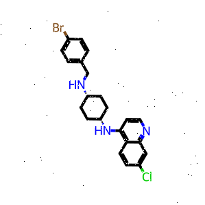 Clc1ccc2c(N[C@H]3CC[C@@H](NCc4ccc(Br)cc4)CC3)ccnc2c1